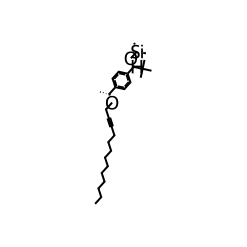 CCCCCCCCCCC#CCO[C@H](C)c1ccc(C(O[SiH](C)C)C(C)(C)C)cc1